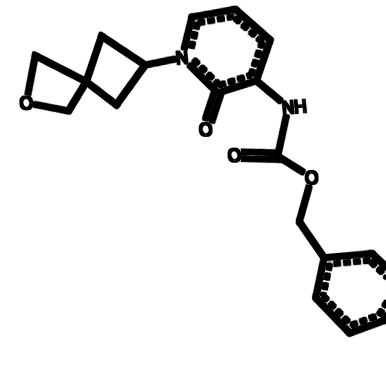 O=C(Nc1cccn(C2CC3(COC3)C2)c1=O)OCc1ccccc1